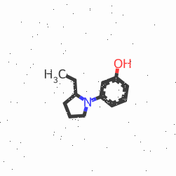 CCC1CCCN1c1cccc(O)c1